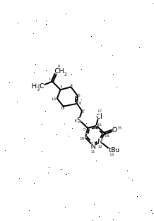 C=C(C)C1CC=C(CSc2cnn(C(C)(C)C)c(=O)c2Cl)CC1